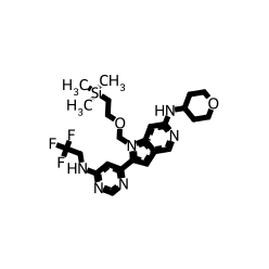 C[Si](C)(C)CCOCn1c(-c2cc(NCC(F)(F)F)ncn2)cc2cnc(NC3CCOCC3)cc21